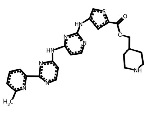 Cc1cccc(-c2nccc(Nc3ccnc(Nc4csc(C(=O)OCC5CCNCC5)c4)n3)n2)n1